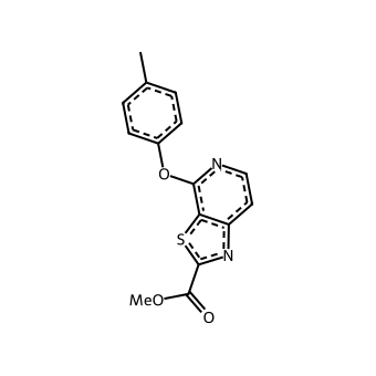 COC(=O)c1nc2ccnc(Oc3ccc(C)cc3)c2s1